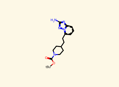 CC(C)(C)OC(=O)N1CCC(CCc2cccc3nc(N)nn23)CC1